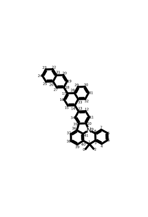 CC1(C)c2ccccc2-n2c3ccc(-c4ccc(-c5ccc6ccccc6c5)c5ccccc45)cc3c3cccc1c32